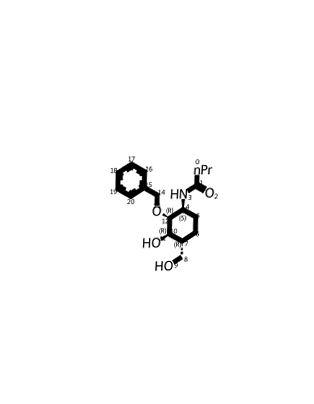 CCCC(=O)N[C@H]1CC[C@H](CO)[C@@H](O)[C@@H]1OCc1ccccc1